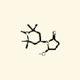 CP1C(C)(C)CC(N2C(=O)CCC2O)CC1(C)C